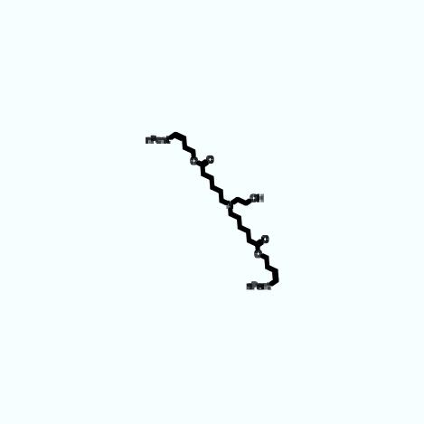 CCCCC/C=C\CCOC(=O)CCCCCN(CCO)CCCCCC(=O)OCC/C=C\CCCCC